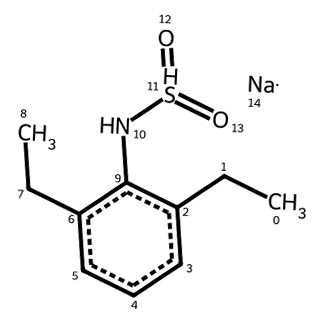 CCc1cccc(CC)c1N[SH](=O)=O.[Na]